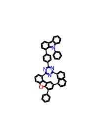 c1ccc(-c2cc(-c3ccccc3)c3oc4cccc(-c5nc(-c6ccccc6)nc(-c6ccc(-c7cccc8c9ccccc9n(-c9ccccc9)c78)cc6)n5)c4c3c2)cc1